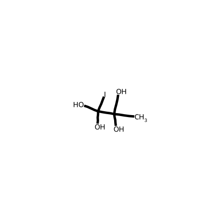 CC(O)(O)C(O)(O)I